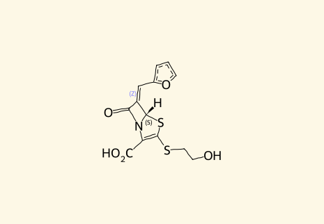 O=C(O)C1=C(SCCO)S[C@H]2/C(=C\c3ccco3)C(=O)N12